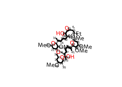 CC[C@H](OC)[C@@H](C)[C@@H]1O[C@H]1[C@H](O)[C@@H](C)/C=C/C=C(\C)[C@H]1O[C@@H](OC)C[C@H](OCCC[C@H](OC)[C@@H](C)[C@H]2C[C@@](O)([C@@H](C)/C=C/C=C(\C)[C@H]3O[C@@H](OC)C[C@H](OC)[C@H]3OC)O2)[C@@H]1OC